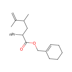 C=C(C)C(C)CC(CCC)C(=O)OCC1=CCCCC1